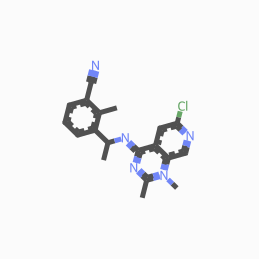 Cc1c(C#N)cccc1C(C)/N=c1\nc(C)n(C)c2cnc(Cl)cc12